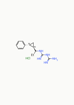 CCC(NC(=N)NC(=N)N)[C@@H]1C[C@H]1c1ccccc1.Cl